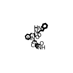 N#CC[C@H](C[C@@H]1CCNC1=O)NC(=O)[C@H](CC1CCCCC1)NC(=O)c1cc2ccccc2[nH]1